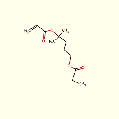 C=CC(=O)OC(C)(C)CCCOC(=O)CC